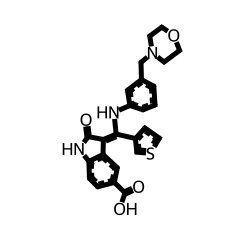 O=C1Nc2ccc(C(=O)O)cc2/C1=C(/Nc1cccc(CN2CCOCC2)c1)c1ccsc1